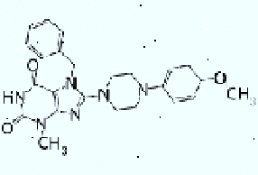 COC1C=CC(N2CCN(c3nc4c(c(=O)[nH]c(=O)n4C)n3Cc3ccccc3)CC2)=CC1